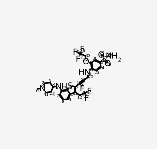 CN1CCC(Nc2cccc3c(CC(F)(F)F)c(C#CCNc4ccc(S(N)(=O)=O)cc4OCC(F)(F)F)sc23)CC1